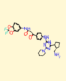 NC[C@@H]1CCCC1c1nc(Nc2ccc(C(=O)CC(=O)Nc3ccc4c(c3)OC(F)(F)O4)cc2)nc(N2CCCCC2)n1